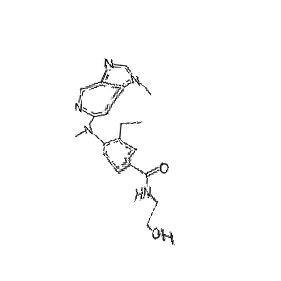 CCc1cc(C(=O)NCCO)ccc1N(C)c1cc2c(cn1)ncn2C